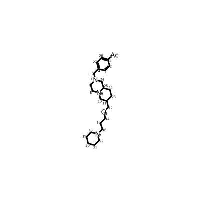 CC(=O)c1ccc(CN2CCN3CC(COCCCN4CCCCC4)CCC3C2)cc1